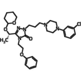 C[C@H](OC1CCCCO1)c1nn(CCCN2CCN(c3cccc(Cl)c3)CC2)c(=O)n1CCOc1ccccc1